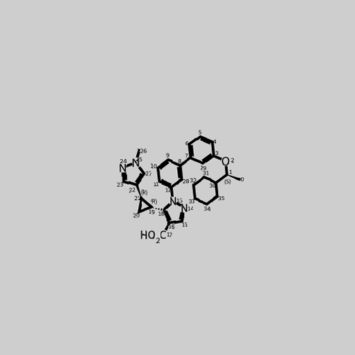 C[C@H](Oc1cccc(-c2cccc(-n3ncc(C(=O)O)c3[C@@H]3C[C@H]3c3cnn(C)c3)c2)c1)C1CCCCC1